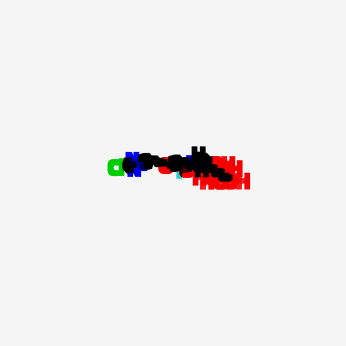 O=C(Cc1ccc(OCCCC2CCN(c3ncc(Cl)cn3)CC2)cc1F)N1C[C@H]2CCN(CC(O)C(O)C(O)C(O)CO)[C@H]2C1